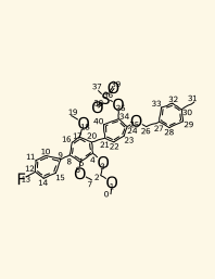 COCOc1c(OC)c(-c2ccc(F)cc2)cc(OC)c1-c1ccc(OCc2ccc(C)cc2)c(OS(C)(=O)=O)c1